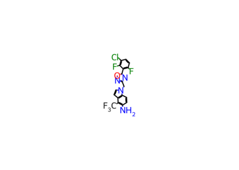 Nc1ccc2c(ccn2Cc2noc(-c3c(F)ccc(Cl)c3F)n2)c1C(F)(F)F